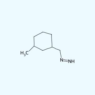 CC1CCCC(CN=N)C1